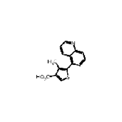 Cc1c(C(=O)O)csc1-c1cccc2ncccc12